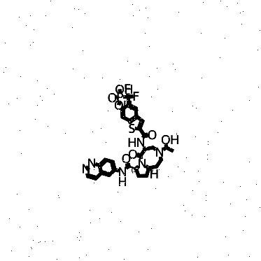 CC(O)N1CC[C@H]2CC[C@@H](C(=O)Nc3ccc4nnccc4c3)N2C(=O)C(NC(=O)c2cc3cc(C(F)(F)P(=O)(O)O)ccc3s2)C1